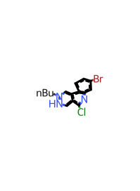 CCCCN1C=c2c(c(Cl)nc3cc(Br)ccc23)=CN1